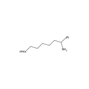 CCCCCCCCCCCC(N)C(C)C